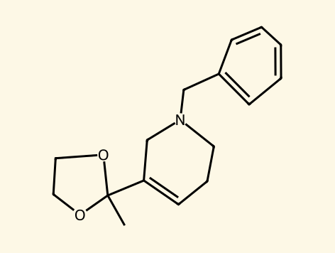 CC1(C2=CCCN(Cc3ccccc3)C2)OCCO1